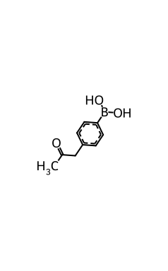 CC(=O)Cc1ccc(B(O)O)cc1